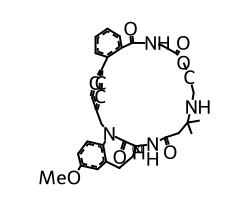 COc1ccc2c(c1)CC[C@H]1NC(=O)CC(C)(C)NCCOC(=O)CNC(=O)c3ccccc3-c3ccc(cc3)CN2C1=O